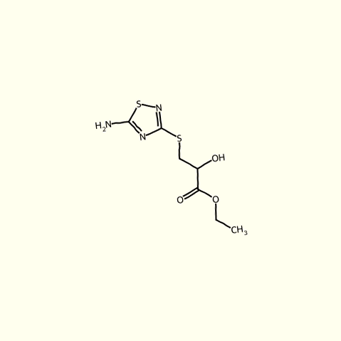 CCOC(=O)C(O)CSc1nsc(N)n1